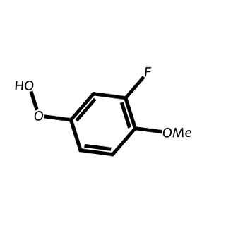 COc1ccc(OO)cc1F